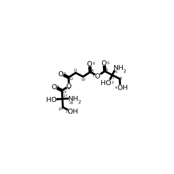 NC(O)(CO)C(=O)OC(=O)CCC(=O)OC(=O)C(N)(O)CO